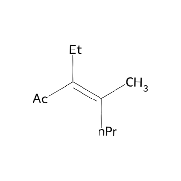 CCCC(C)=C(CC)C(C)=O